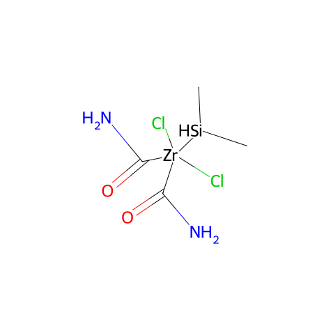 C[SiH](C)[Zr]([Cl])([Cl])([C](N)=O)[C](N)=O